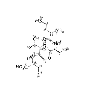 CC(C)C[C@H](NC(=O)[C@@H](N)CCS)C(=O)N[C@H](C(=O)N[C@H](CS)C(=O)O)[C@@H](C)O